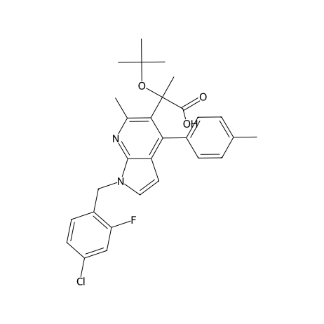 Cc1ccc(-c2c(C(C)(OC(C)(C)C)C(=O)O)c(C)nc3c2ccn3Cc2ccc(Cl)cc2F)cc1